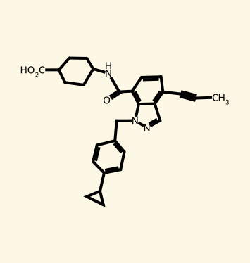 CC#Cc1ccc(C(=O)NC2CCC(C(=O)O)CC2)c2c1cnn2Cc1ccc(C2CC2)cc1